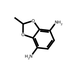 CC1Oc2c(N)ccc(N)c2O1